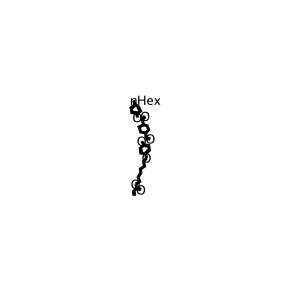 C=CC(=O)OCCCCCCOc1ccc(OC(=O)C2CCC(C(=O)Oc3ccc(CCCCCC)cc3)CC2)cc1